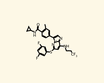 Cc1cc(-c2cnc3c(NCCC(F)(F)F)cc(Sc4cc(F)cc(F)c4)nn23)ccc1C(=O)NC1CC1